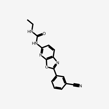 CCNC(=O)Nc1ccc2nc(-c3cccc(C#N)c3)oc2n1